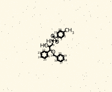 Cc1ccc(S(=O)(=O)NCC(O)C(OCc2ccccc2)c2ccccc2)cc1